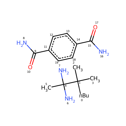 CCCCC(C)(C)C(C)(N)N.NC(=O)c1ccc(C(N)=O)cc1